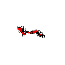 Cc1cncc(Cl)c1NC(=O)c1ccc(OC(F)F)c(OCCCCCCCc2ccc(OCc3scc4c3CN(C(C)CCC(=O)NC=O)C4=O)cc2)c1